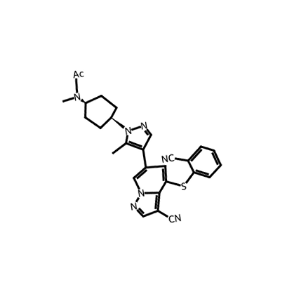 CC(=O)N(C)[C@H]1CC[C@@H](n2ncc(-c3cc(Sc4ccccc4C#N)c4c(C#N)cnn4c3)c2C)CC1